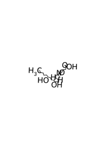 CCCCCC(O)CC[C@H]1[C@@H]2CC(=NOCCC(=O)O)C[C@@H]2C[C@@H]1O